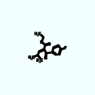 CCOC(=O)/C(=C/C(C)C)C(=O)c1ccc(F)cc1